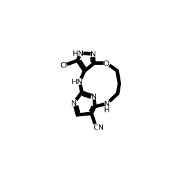 N#Cc1cnc2nc1NCCCOc1n[nH]c(Cl)c1N2